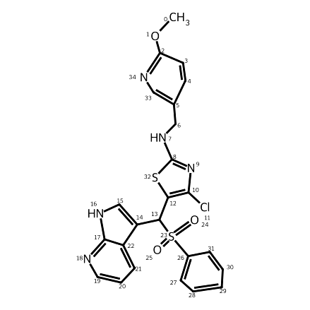 COc1ccc(CNc2nc(Cl)c(C(c3c[nH]c4ncccc34)S(=O)(=O)c3ccccc3)s2)cn1